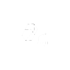 C1C2CC3CC1CC(C2)C3.O=C(O)CBr